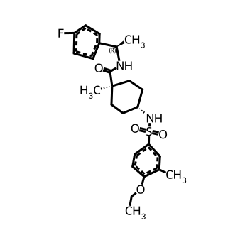 CCOc1ccc(S(=O)(=O)N[C@H]2CC[C@](C)(C(=O)N[C@H](C)c3ccc(F)cc3)CC2)cc1C